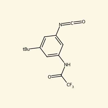 CC(C)(C)c1cc(N=C=O)cc(NC(=O)C(F)(F)F)c1